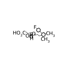 Cc1cc(C)c(CCCO[PH](=O)CC(O)CC(=O)O)c(-c2ccc(F)cc2)c1